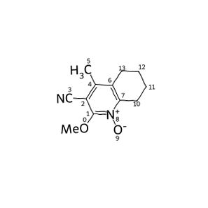 COc1c(C#N)c(C)c2c([n+]1[O-])CCCC2